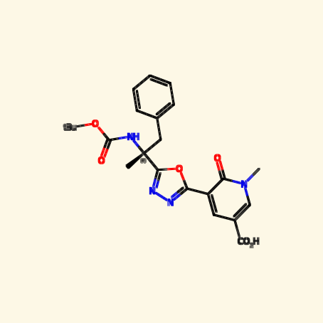 Cn1cc(C(=O)O)cc(-c2nnc([C@@](C)(Cc3ccccc3)NC(=O)OC(C)(C)C)o2)c1=O